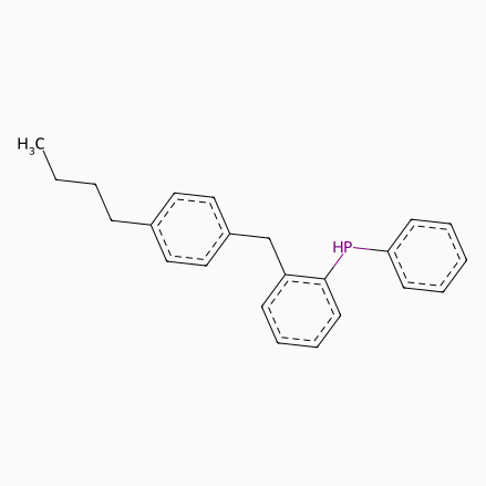 CCCCc1ccc(Cc2ccccc2Pc2ccccc2)cc1